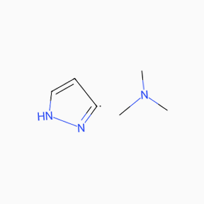 CN(C)C.[c]1cc[nH]n1